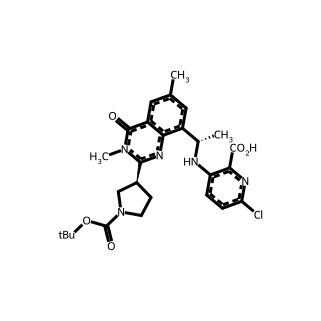 Cc1cc([C@H](C)Nc2ccc(Cl)nc2C(=O)O)c2nc([C@H]3CCN(C(=O)OC(C)(C)C)C3)n(C)c(=O)c2c1